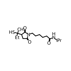 CCC(C)(S)C1CC(=O)N(CCCCCC(=O)NC(C)C)C1=O